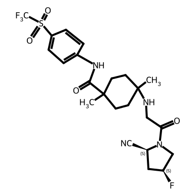 CC1(NCC(=O)N2C[C@@H](F)C[C@H]2C#N)CCC(C)(C(=O)Nc2ccc(S(=O)(=O)C(F)(F)F)cc2)CC1